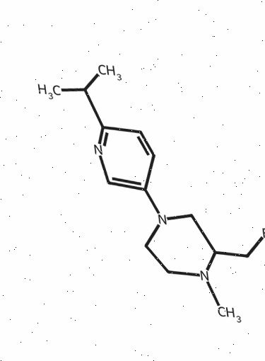 CC(C)c1ccc(N2CCN(C)C(CF)C2)cn1